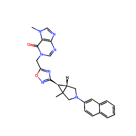 Cn1cnc2ncn(Cc3nc([C@H]4[C@@H]5CN(c6ccc7ccccc7c6)CC54C)no3)c(=O)c21